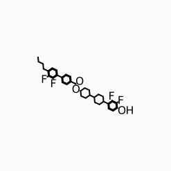 CCCCc1ccc(-c2ccc(C(=O)OC3CCC(C4CCC(c5ccc(O)c(F)c5F)CC4)CC3)cc2)c(F)c1F